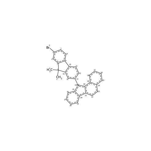 CC1(C)c2cc(Br)ccc2-c2ccc(-n3c4ccccc4c4ccc5ccccc5c43)cc21